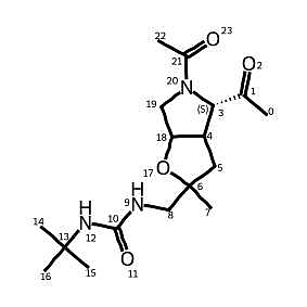 CC(=O)[C@@H]1C2CC(C)(CNC(=O)NC(C)(C)C)OC2CN1C(C)=O